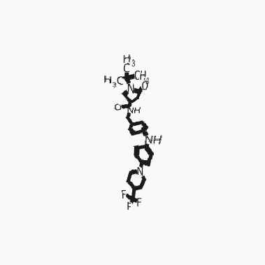 CC(C)(C)N1CC(C(=O)NCc2ccc(Nc3ccc(N4CCC(C(F)(F)F)CC4)cc3)cc2)CC1=O